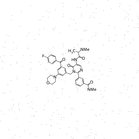 CNC(=O)c1cccc(-c2ncc(NC(=O)C(C)NC)c(=O)n2Cc2cc(C(=O)c3ccc(F)cc3)cc(N3CCOCC3)c2)c1